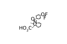 Cc1c(CC(=O)O)c2ccccc2n1C(=O)c1ccc(OC(F)F)cc1